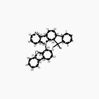 CC1(C)c2ccccc2-c2ccc3c4ncccc4n(-c4cccc5c4oc4ccccc45)c3c21